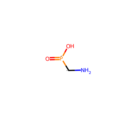 N[CH][P](=O)O